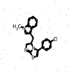 Cn1cc(CC2CN=C3SC=C(c4ccc(Cl)cc4)N32)c2ccccc21